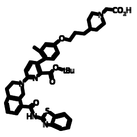 Cc1cc(OCCCC2CCN(CC(=O)O)CC2)ccc1-c1ccc(N2CCc3cccc(C(=O)Nc4nc5ccccc5s4)c3C2)nc1C(=O)OC(C)(C)C